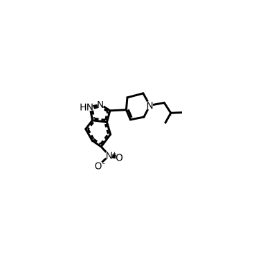 C[C](C)CN1CC=C(c2n[nH]c3ccc([N+](=O)[O-])cc23)CC1